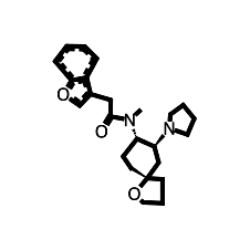 CN(C(=O)Cc1coc2ccccc12)[C@H]1CC[C@]2(CCCO2)C[C@@H]1N1CCCC1